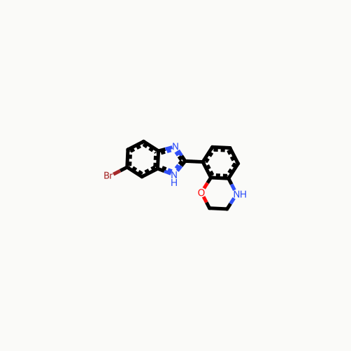 Brc1ccc2nc(-c3cccc4c3OCCN4)[nH]c2c1